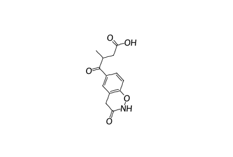 CC(CC(=O)O)C(=O)c1ccc2c(c1)CC(=O)NO2